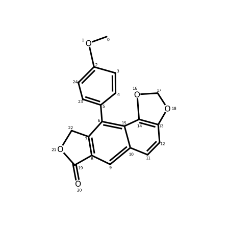 COc1ccc(-c2c3c(cc4ccc5c(c24)OCO5)C(=O)OC3)cc1